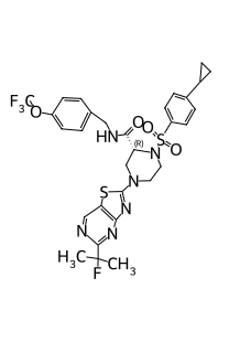 CC(C)(F)c1ncc2sc(N3CCN(S(=O)(=O)c4ccc(C5CC5)cc4)[C@@H](C(=O)NCc4ccc(OC(F)(F)F)cc4)C3)nc2n1